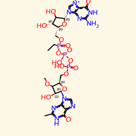 CCP(=O)(OC[C@H]1O[C@@H](n2c[n+](C)c3c(=O)[nH]c(N)nc32)C(O)[C@H]1O)OP(=O)(O)OP(=O)(O)OC[C@H]1O[C@@H](n2cnc3c(=O)[nH]c(C)nc32)[C@@H](O)C1OC